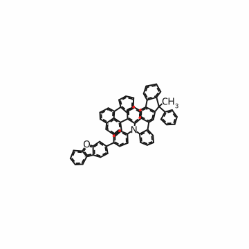 CC1(c2ccccc2)c2ccccc2-c2ccc(-c3ccccc3N(c3c#cc(-c4ccc5c(c4)oc4ccccc45)cc3)c3ccccc3-c3cccc4cccc(-c5ccccc5)c34)cc21